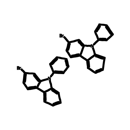 Brc1ccc2c3ccccc3n(-c3ccccc3)c2c1.Brc1ccc2c3ccccc3n(-c3ccccc3)c2c1